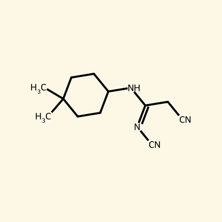 CC1(C)CCC(NC(CC#N)=NC#N)CC1